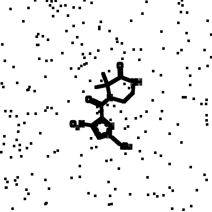 CC1(C)C(=O)NCCN1C(=O)c1nn(C(C)(C)C)cc1[N+](=O)[O-]